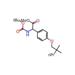 CCCC(C)(C)COc1ccc(C(NC(=O)OC(C)(C)C)C(=O)OC)cc1